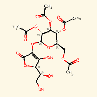 CC(=O)OC[C@H]1O[C@@H](OC2=C(O)[C@@H]([C@@H](O)CO)OC2=O)[C@H](OC(C)=O)[C@@H](OC(C)=O)[C@@H]1OC(C)=O